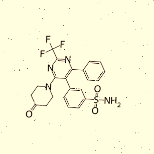 NS(=O)(=O)c1cccc(-c2c(-c3ccccc3)nc(C(F)(F)F)nc2N2CCC(=O)CC2)c1